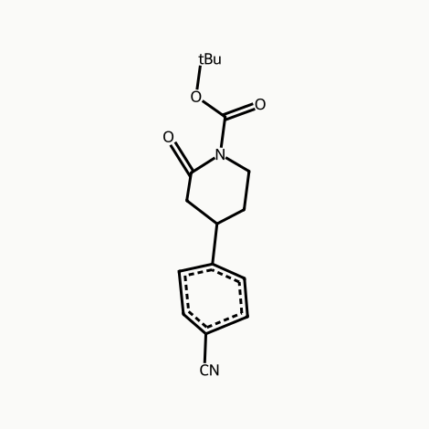 CC(C)(C)OC(=O)N1CCC(c2ccc(C#N)cc2)CC1=O